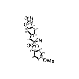 COc1ccc(CS(=O)(=O)/C(C#N)=C/c2ccc3[nH]c(=O)oc3c2)cc1